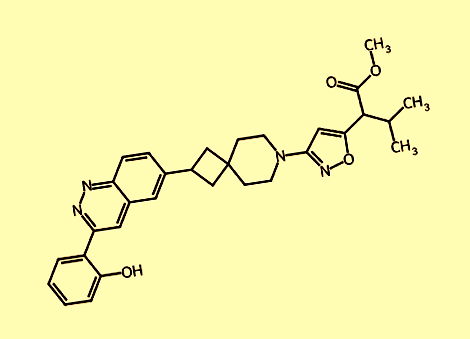 COC(=O)C(c1cc(N2CCC3(CC2)CC(c2ccc4nnc(-c5ccccc5O)cc4c2)C3)no1)C(C)C